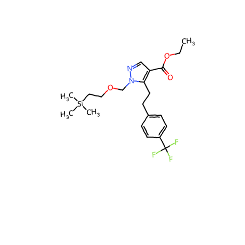 CCOC(=O)c1cnn(COCC[Si](C)(C)C)c1CCc1ccc(C(F)(F)F)cc1